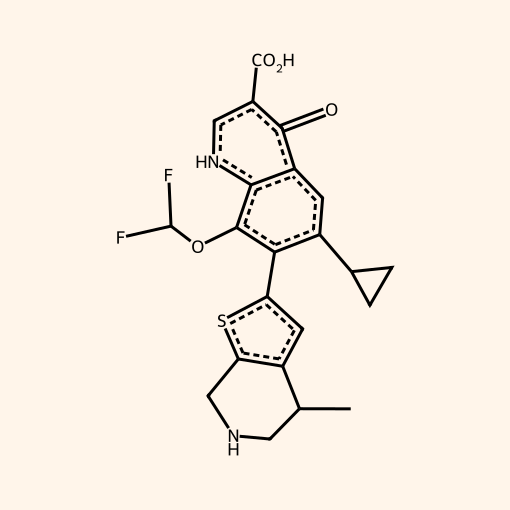 CC1CNCc2sc(-c3c(C4CC4)cc4c(=O)c(C(=O)O)c[nH]c4c3OC(F)F)cc21